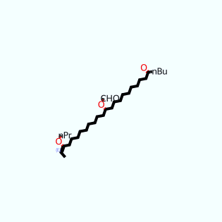 C/C=C(\CCCCCCCCCC(CCCCCCCCCC(=O)CCCC)OC=O)OCCC